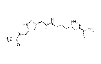 CC(=O)NC[C@@H](N)CCCNNC[C@@H]1CN[C@H](CNC(C)=O)C1